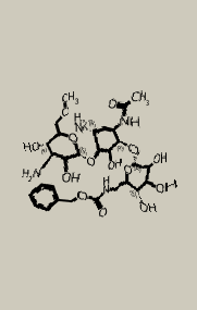 COCC1O[C@H](OC2C(O)[C@H](O[C@H]3OC(CNC(=O)OCc4ccccc4)[C@@H](O)C(O)C3O)C(NC(C)=O)C[C@H]2N)C(O)C(N)[C@@H]1O